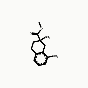 Bc1cccc2c1CC(N)(C(=O)OC)CC2